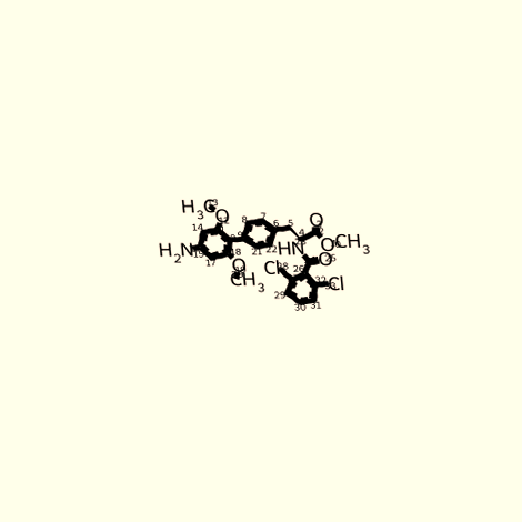 COC(=O)[C@H](Cc1ccc(-c2c(OC)cc(N)cc2OC)cc1)NC(=O)c1c(Cl)cccc1Cl